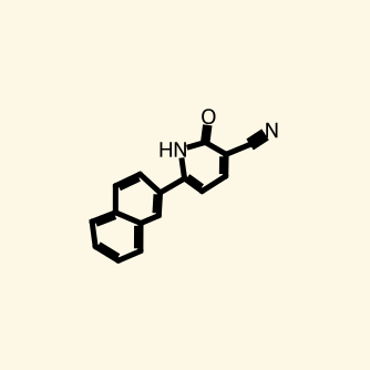 N#Cc1ccc(-c2ccc3ccccc3c2)[nH]c1=O